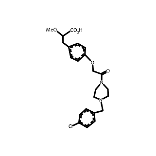 COC(Cc1ccc(OCC(=O)N2CCN(Cc3ccc(Cl)cc3)CC2)cc1)C(=O)O